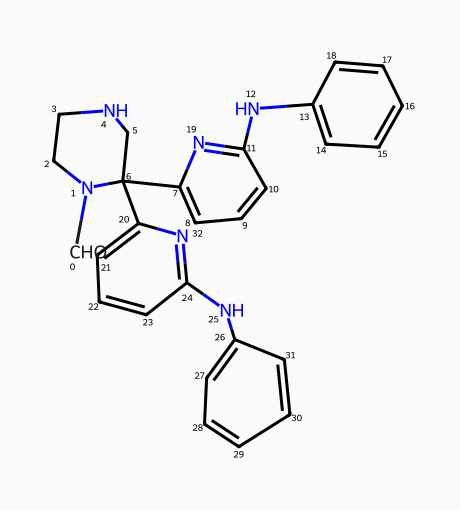 O=CN1CCNCC1(c1cccc(Nc2ccccc2)n1)c1cccc(Nc2ccccc2)n1